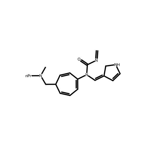 C=NC(=O)N(/C=C1/C=CNC1)C1=CC=CC(CN(C)CCC)C=C1